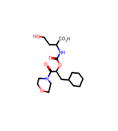 O=C(NC(CCO)C(=O)O)OC(CC1CCCCC1)C(=O)N1CCOCC1